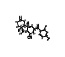 Cc1cc(F)ccc1Nc1cc(C#N)c2c(c1)[C@@H]1CNCC[C@@H]1N2C